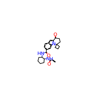 C=CC(=O)NC1CCCCC1NC(=O)c1ccc2cc3n(c2c1)C1(CCC1)CCC3=O